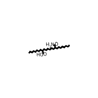 CCCCCCCCC(CCCCCCC(CCCCCCCC)C(=O)O)C(N)=O